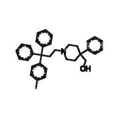 Cc1ccc(C(CCN2CCC(CO)(c3ccccc3)CC2)(c2ccccc2)c2ccccc2)cc1